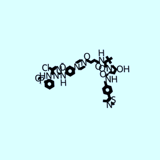 COc1cc(N2CCN(C(=O)CCC(=O)NC(C(=O)N3C[C@H](O)C[C@H]3C(=O)NCc3ccc(-c4scnc4C)cc3)C(C)(C)C)CC2)ccc1Nc1ncc(Cl)c(Nc2ccccc2P(C)(C)=O)n1